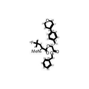 CN[C@@H](CC(C)(C)F)C(=O)O[C@H](Cc1ccc(C2=CCOCC2)cc1)C(=O)OCc1ccccc1